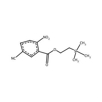 C[Si](C)(C)CCOC(=O)c1cc(C#N)ccc1[N+](=O)[O-]